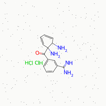 Cl.Cl.N=C(N)c1cccc(C(=O)C2(N)C=CC=CC2N)c1